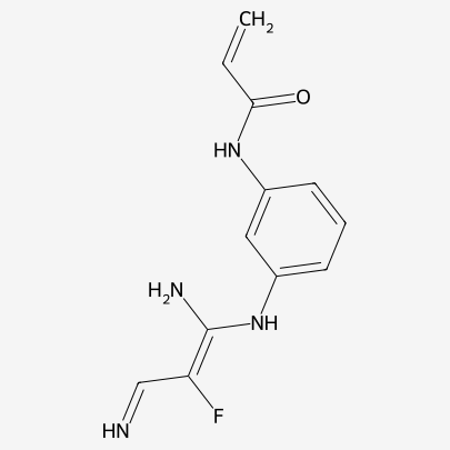 C=CC(=O)Nc1cccc(N/C(N)=C(\F)C=N)c1